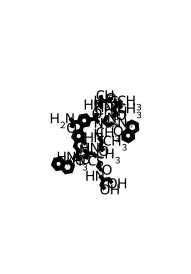 CNC(C)C(=O)NC(C(=O)N1C[C@@H](NC(=O)c2ccc(C(N)=O)c(-c3ccc4c(c3)CN(C(=O)C(NC(=O)C(C)NC)C(C)(C)SCC(=O)NC(CO)CO)C(C(=O)N[C@@H]3CCCc5ccccc53)C4)c2)C[C@H]1C(=O)N[C@@H]1CCCc2ccccc21)C(C)(C)C